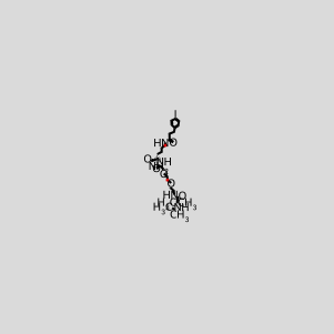 CC(C)NC(C)(C)C(=O)NCCOCCOCC(=O)N[C@@H](CCCCNC(=O)CCc1ccc(I)cc1)C(N)=O